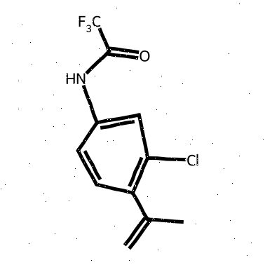 C=C(C)c1ccc(NC(=O)C(F)(F)F)cc1Cl